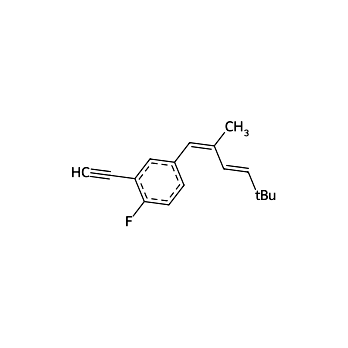 C#Cc1cc(/C=C(C)\C=C\C(C)(C)C)ccc1F